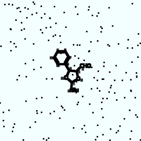 CCCCC1OC(C=O)C(c2ccccc2)O1